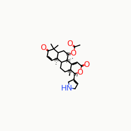 CC(=O)O[C@@H]1CC2C(C)(C)C(=O)C=C[C@]2(C)C2CC[C@]3(C)C(=CC(=O)O[C@H]3C3=CCNC3)[C@@]21C